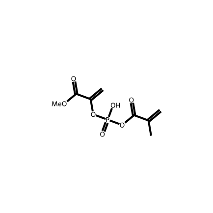 C=C(C)C(=O)OP(=O)(O)OC(=C)C(=O)OC